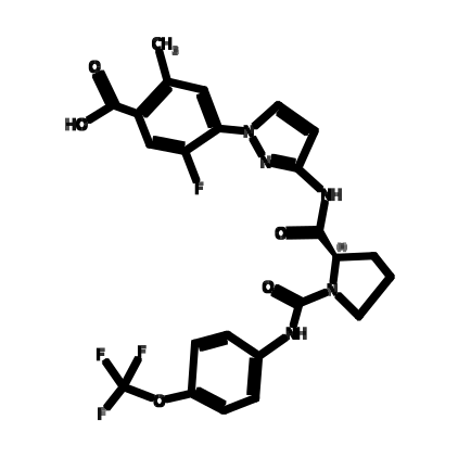 Cc1cc(-n2ccc(NC(=O)[C@H]3CCCN3C(=O)Nc3ccc(OC(F)(F)F)cc3)n2)c(F)cc1C(=O)O